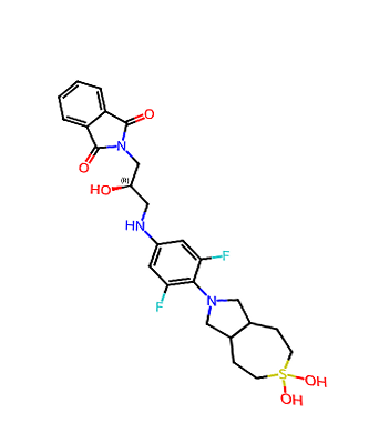 O=C1c2ccccc2C(=O)N1C[C@H](O)CNc1cc(F)c(N2CC3CCS(O)(O)CCC3C2)c(F)c1